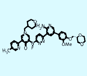 COc1cc(-c2cnc(N)c(-c3ccc(N(F)c4cn(CC5CCOCC5)cc(-c5ccc(C)cn5)c4=O)nn3)c2)ccc1OC[C@H]1COCCO1